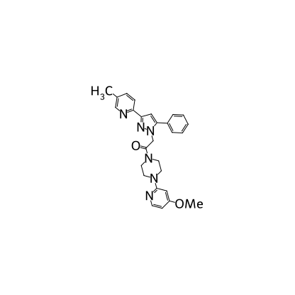 COc1ccnc(N2CCN(C(=O)Cn3nc(-c4ccc(C)cn4)cc3-c3ccccc3)CC2)c1